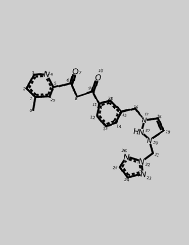 Cc1ccnc(C(=O)CC(=O)c2cccc(CN3C=CN(Cn4nccn4)N3)c2)c1